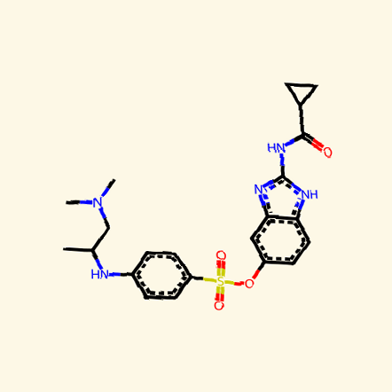 CC(CN(C)C)Nc1ccc(S(=O)(=O)Oc2ccc3[nH]c(NC(=O)C4CC4)nc3c2)cc1